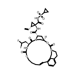 C=C[C@@H]1C[C@]1(NC(=O)[C@@H]1C[C@@H]2CN1C(=O)[C@H](CC(F)F)NC(=O)OCCC/C=C/c1cccc3c1CN(CC3)C(=O)O2)C(=O)NS(=O)(=O)C1CC1